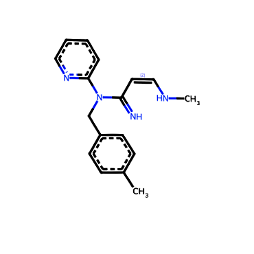 CN/C=C\C(=N)N(Cc1ccc(C)cc1)c1ccccn1